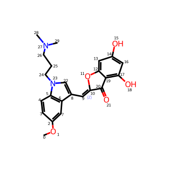 COc1ccc2c(c1)c(/C=C1\Oc3cc(O)cc(O)c3C1=O)cn2CCCN(C)C